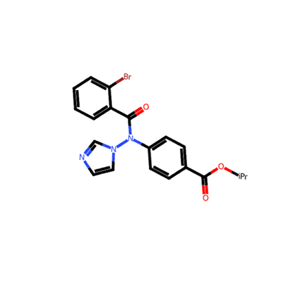 CC(C)OC(=O)c1ccc(N(C(=O)c2ccccc2Br)n2ccnc2)cc1